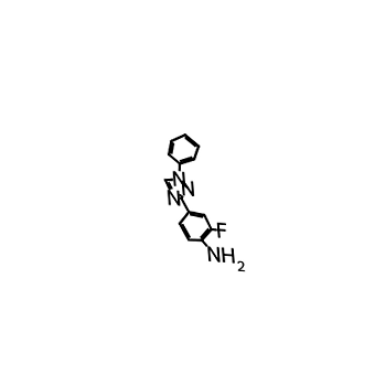 Nc1ccc(-c2ncn(-c3ccccc3)n2)cc1F